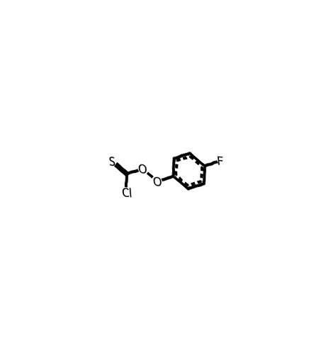 Fc1ccc(OOC(=S)Cl)cc1